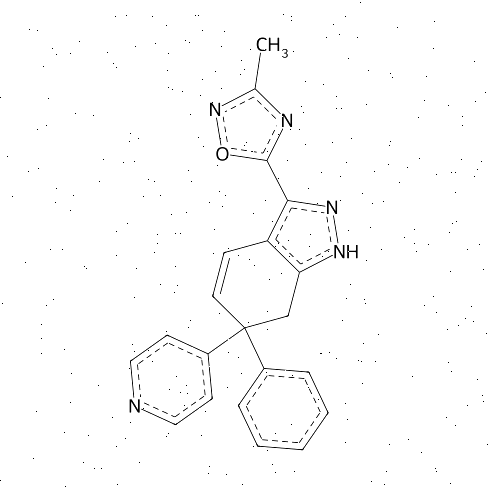 Cc1noc(-c2n[nH]c3c2C=CC(c2ccccc2)(c2ccncc2)C3)n1